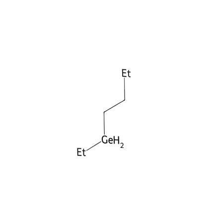 CCC[CH2][GeH2][CH2]C